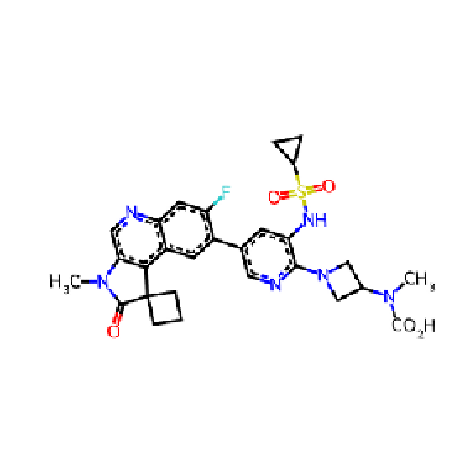 CN1C(=O)C2(CCC2)c2c1cnc1cc(F)c(-c3cnc(N4CC(N(C)C(=O)O)C4)c(NS(=O)(=O)C4CC4)c3)cc21